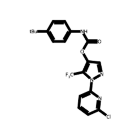 CC(C)(C)c1ccc(NC(=O)Oc2cnn(-c3cccc(Cl)n3)c2C(F)(F)F)cc1